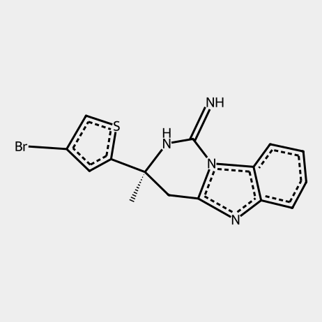 C[C@@]1(c2cc(Br)cs2)Cc2nc3ccccc3n2C(=N)N1